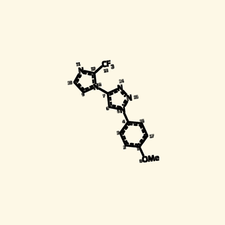 COc1ccc(-n2cc(-n3ccnc3C(F)(F)F)nn2)cc1